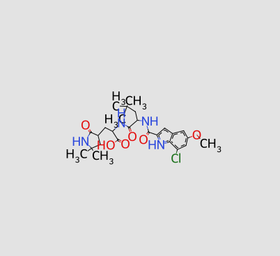 COc1cc(Cl)c2[nH]c(C(=O)NC(CC(C)(C)C)C(=O)NC(CC3CC(C)(C)NC3=O)C(=O)O)cc2c1